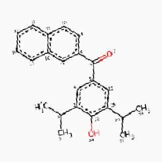 CC(C)c1cc(C(=O)c2ccc3ccccc3c2)cc(C(C)C)c1O